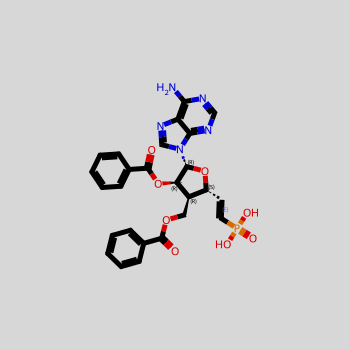 Nc1ncnc2c1ncn2[C@@H]1O[C@H](/C=C/P(=O)(O)O)[C@@H](COC(=O)c2ccccc2)[C@H]1OC(=O)c1ccccc1